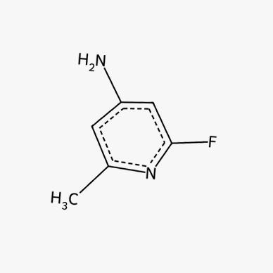 Cc1cc(N)cc(F)n1